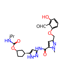 CC(C)NC(=O)O[C@@H]1CC[C@H](c2cc(NC(=O)c3cc(COc4cccc(O)c4C=O)nn3C)n[nH]2)C1